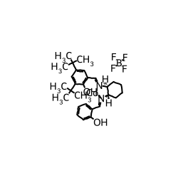 CC(C)(C)c1cc(C=[N+]2[Co][N+](=Cc3ccccc3O)[C@H]3CCCC[C@@H]32)c(O)c(C(C)(C)C)c1.F[B-](F)(F)F